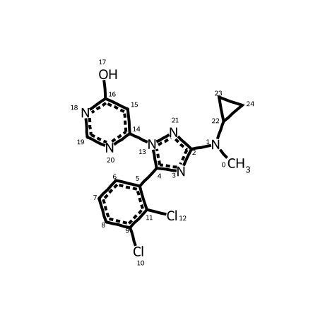 CN(c1nc(-c2cccc(Cl)c2Cl)n(-c2cc(O)ncn2)n1)C1CC1